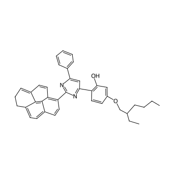 CCCCC(CC)COc1ccc(-c2cc(-c3ccccc3)nc(-c3ccc4ccc5c6c(ccc3c46)=CCC5)n2)c(O)c1